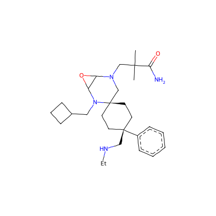 CCNC[C@]1(c2ccccc2)CC[C@]2(CC1)CN(CC(C)(C)C(N)=O)C1OC1N2CC1CCC1